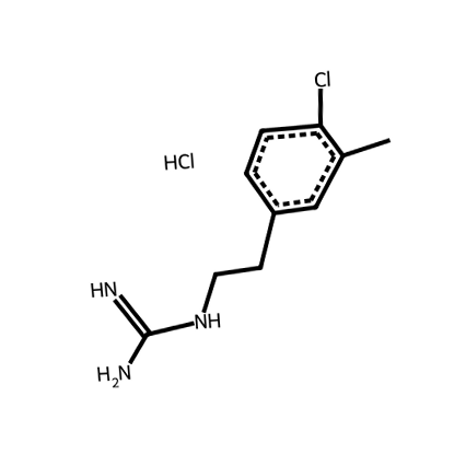 Cc1cc(CCNC(=N)N)ccc1Cl.Cl